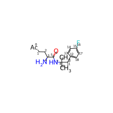 CC(=O)CC[C@H](N)C(=O)NC(C)(C)Cc1ccc(F)cc1